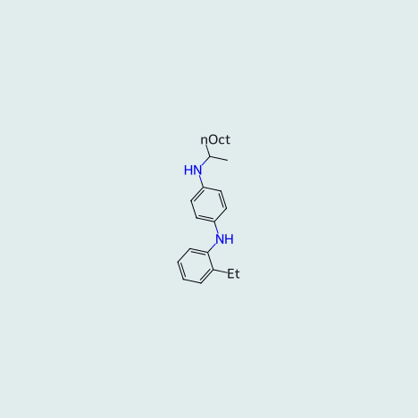 CCCCCCCCC(C)Nc1ccc(Nc2ccccc2CC)cc1